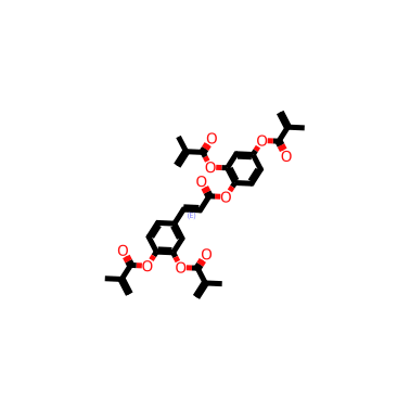 C=C(C)C(=O)Oc1ccc(OC(=O)/C=C/c2ccc(OC(=O)C(=C)C)c(OC(=O)C(=C)C)c2)c(OC(=O)C(=C)C)c1